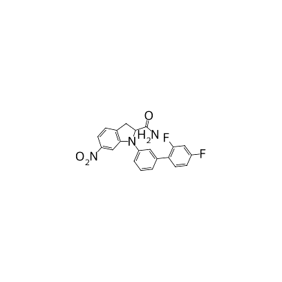 NC(=O)C1Cc2ccc([N+](=O)[O-])cc2N1c1cccc(-c2ccc(F)cc2F)c1